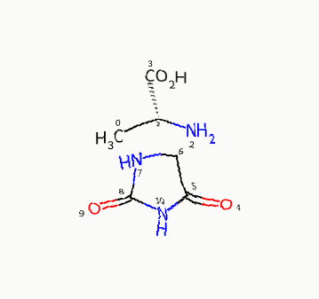 C[C@@H](N)C(=O)O.O=C1CNC(=O)N1